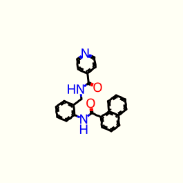 O=C(NCc1ccccc1NC(=O)c1cccc2ccccc12)c1ccncc1